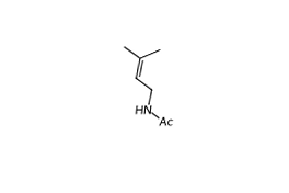 CC(=O)NCC=C(C)C